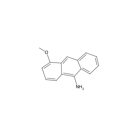 COc1cccc2c(N)c3ccccc3cc12